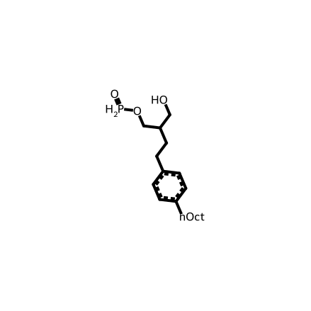 CCCCCCCCc1ccc(CCC(CO)CO[PH2]=O)cc1